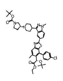 CCOC(=O)[C@@H](OC(C)(C)C)c1c(C)cc2nc(-c3ccc4c(c3)c(C3CCN([C@H]5CCN(C(=O)OC(C)(C)C)C5)CC3)nn4C)sc2c1-c1ccc(Cl)cc1